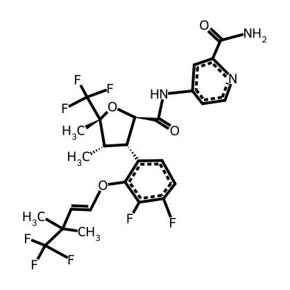 C[C@H]1[C@@H](c2ccc(F)c(F)c2O/C=C/C(C)(C)C(F)(F)F)[C@H](C(=O)Nc2ccnc(C(N)=O)c2)O[C@@]1(C)C(F)(F)F